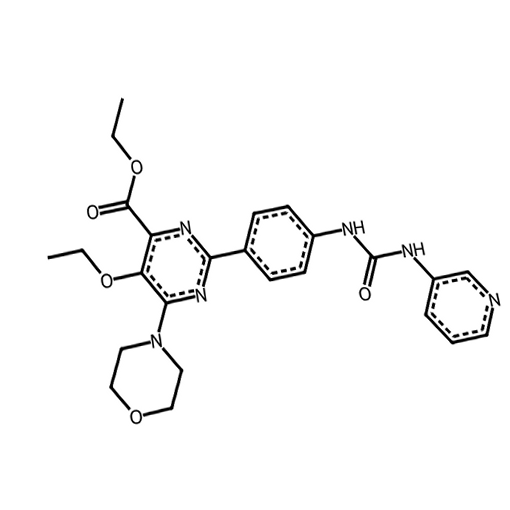 CCOC(=O)c1nc(-c2ccc(NC(=O)Nc3cccnc3)cc2)nc(N2CCOCC2)c1OCC